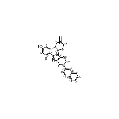 Fc1ccc(-c2nc3cc(-c4ccc5ccccc5c4)cnc3n2C2CCNCC2)c(F)c1